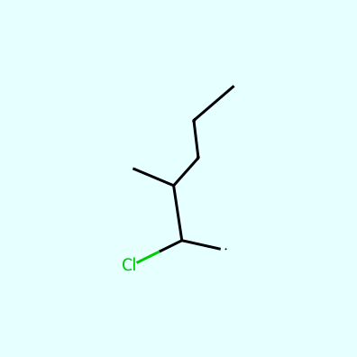 [CH2]C(Cl)C(C)CCC